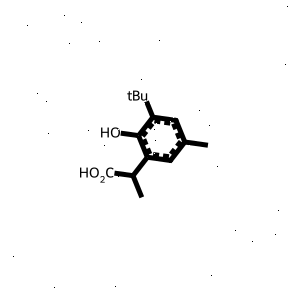 Cc1cc(C(C)C(=O)O)c(O)c(C(C)(C)C)c1